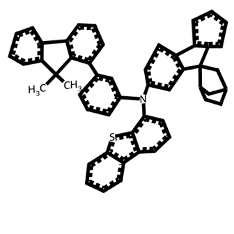 CC1(C)c2ccccc2-c2cccc(-c3cccc(N(c4ccc5c(c4)C4(CC6CCC4C6)c4ccccc4-5)c4cccc5c4sc4ccccc45)c3)c21